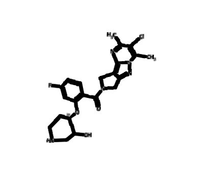 Cc1nc2c3c(nn2c(C)c1Cl)CN(C(=O)c1ccc(F)cc1O[C@@H]1CCNCC1O)C3